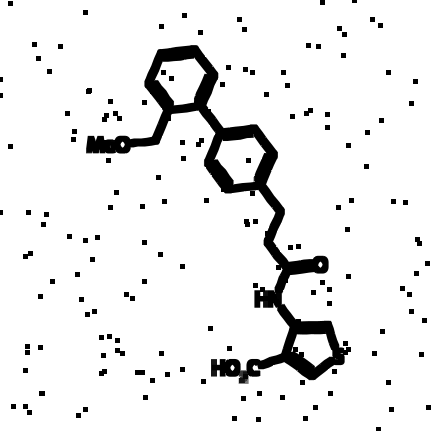 COCc1ccccc1-c1ccc(CCC(=O)Nc2cscc2C(=O)O)cc1